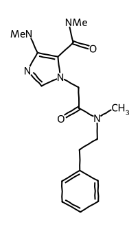 CNC(=O)c1c(NC)ncn1CC(=O)N(C)CCc1ccccc1